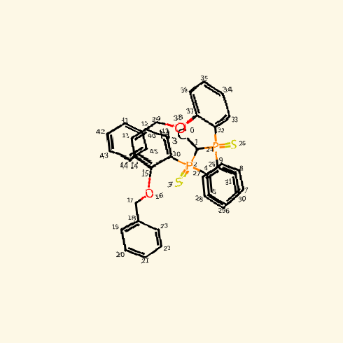 CC(P(=S)(c1ccccc1)c1ccccc1OCc1ccccc1)P(=S)(c1ccccc1)c1ccccc1OCc1ccccc1